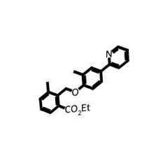 CCOC(=O)c1cccc(C)c1COc1ccc(-c2ccccn2)cc1C